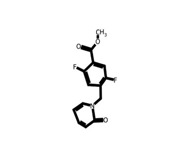 COC(=O)c1cc(F)c(Cn2ccccc2=O)cc1F